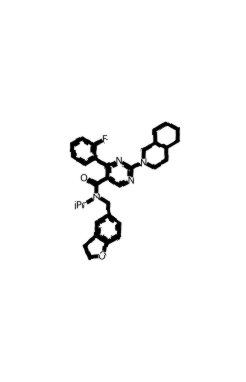 CC(C)N(Cc1ccc2c(c1)CCO2)C(=O)c1cnc(N2CCC3CCCCC3C2)nc1-c1ccccc1F